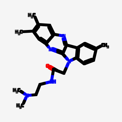 Cc1ccc2c(c1)c1nc3cc(C)c(C)cc3nc1n2CC(=O)NCCN(C)C